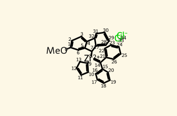 COc1ccc2c(c1)[CH]([Zr+2]([C]1=CC=CC1)=[C](c1ccccc1)c1ccccc1)c1ccccc1-2.[Cl-].[Cl-]